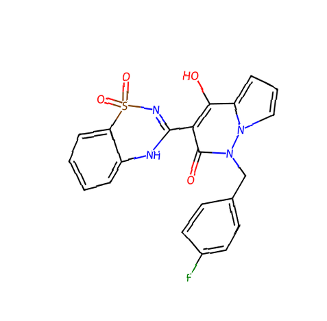 O=c1c(C2=NS(=O)(=O)c3ccccc3N2)c(O)c2cccn2n1Cc1ccc(F)cc1